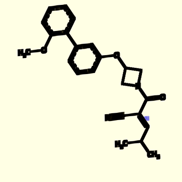 COc1ccccc1-c1cccc(OC2CN(C(=O)/C(C#N)=C/C(C)C)C2)c1